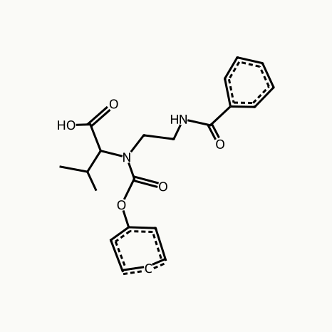 CC(C)C(C(=O)O)N(CCNC(=O)c1ccccc1)C(=O)Oc1ccccc1